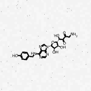 NCC(=O)C(=O)C(O)[C@H]1O[C@@H](n2cnc3c(NCc4ccc(O)cc4)ncnc32)[C@H](O)[C@@H]1O